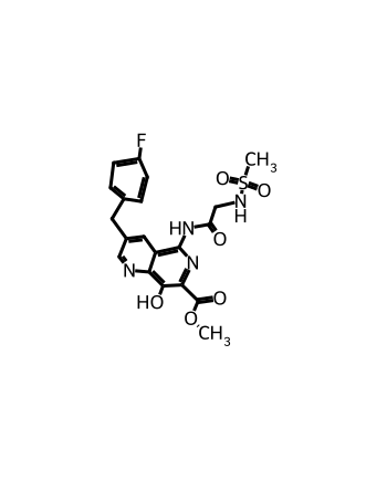 COC(=O)c1nc(NC(=O)CNS(C)(=O)=O)c2cc(Cc3ccc(F)cc3)cnc2c1O